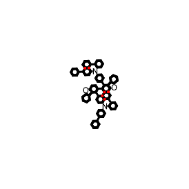 c1ccc(-c2ccc(N(c3ccc(-c4c(-c5ccc6oc7ccccc7c6c5-c5ccc(N(c6ccc(-c7ccccc7)cc6)c6ccccc6-c6ccccc6)cc5)ccc5oc6ccccc6c45)cc3)c3ccccc3-c3ccccc3)cc2)cc1